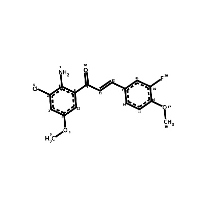 COc1cc(Cl)c(N)c(C(=O)C=Cc2ccc(OC)c(F)c2)c1